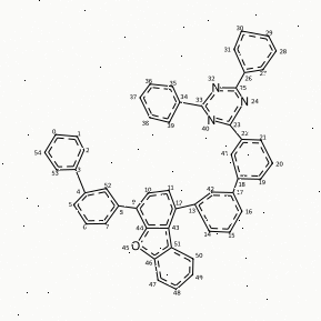 c1ccc(-c2cccc(-c3ccc(-c4cccc(-c5cccc(-c6nc(-c7ccccc7)nc(-c7ccccc7)n6)c5)c4)c4c3oc3ccccc34)c2)cc1